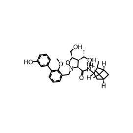 COc1c(CN2O[C@@H](CO)[C@@H]([C@H](C)O)[C@H]2C(=O)N[C@H]2C[C@H]3C[C@@H]([C@@H]2C)C3(C)C)cccc1-c1cccc(O)c1